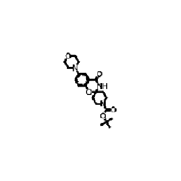 CC(C)(C)OC(=O)N1CCC2(CC1)NC(=O)c1cc(N3CCOCC3)ccc1O2